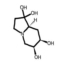 O[C@@H]1C[C@H]2N(CCC2(O)O)C[C@@H]1O